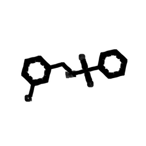 O=S(=O)(NCc1cccc(Cl)c1)c1ccccc1